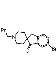 C[C](C)CN1CCC2(CC1)Cc1ccc(Br)cc1C2=O